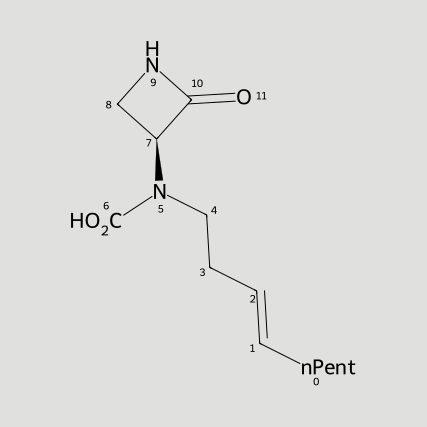 CCCCC/C=C/CCN(C(=O)O)[C@H]1CNC1=O